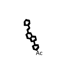 CC(=O)c1ccc(-c2ccc3cc(C=Cc4ccccc4)ccc3c2)cc1